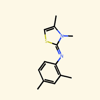 Cc1ccc(N=c2scc(C)n2C)c(C)c1